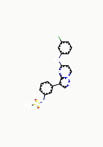 CS(=O)(=O)Nc1cccc(-c2cnn3ccc(Nc4cccc(Cl)c4)nc23)c1